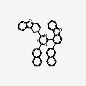 C1=CC(c2nc(-c3ccc4ccccc4c3)nc(-c3c(-c4ccc5ccccc5c4)ccc4oc5ccccc5c34)n2)Cc2c1oc1ccccc21